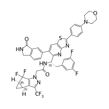 O=C(Cn1nc(C(F)(F)F)c2c1C(F)(F)[C@@H]1C[C@H]21)N[C@@H](Cc1cc(F)cc(F)c1)c1nc2nc(-c3ccc(N4CCOCC4)cc3)sc2cc1-c1ccc2c(c1)C(=O)NC2